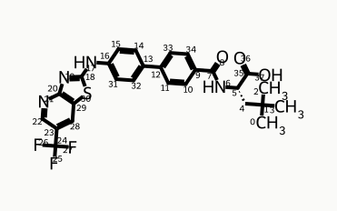 CC(C)(C)C[C@H](NC(=O)c1ccc(-c2ccc(Nc3nc4ncc(C(F)(F)F)cc4s3)cc2)cc1)C(=O)O